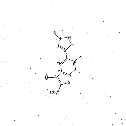 CCOC(=O)c1oc2cc(C)c(C3=CN(C)NC3)nc2c1N